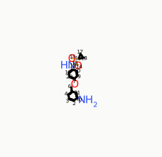 Nc1cccc(COc2ccc(NS(=O)(=O)C3CC3)cc2)c1